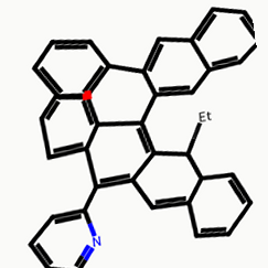 CCC1c2c(c(-c3ccccn3)c3ccccc3c2-c2cc3ccccc3cc2-c2ccccc2)C=C2C=CC=CC21